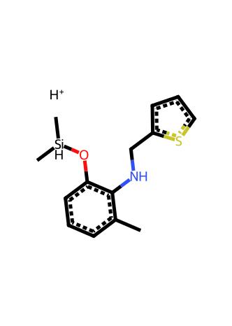 Cc1cccc(O[SiH](C)C)c1NCc1cccs1.[H+]